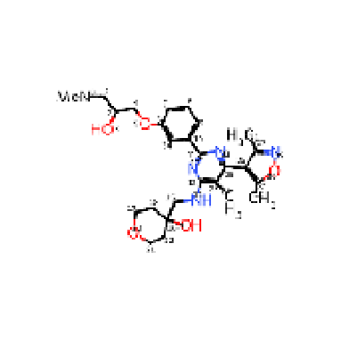 CNCC(O)COc1cccc(-c2nc(NCC3(O)CCOCC3)c(C)c(-c3c(C)noc3C)n2)c1